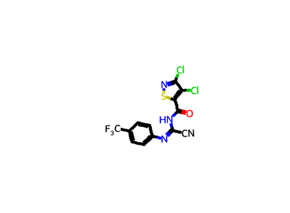 N#C/C(=N/c1ccc(C(F)(F)F)cc1)NC(=O)c1snc(Cl)c1Cl